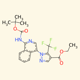 CCOC(=O)c1cnn(-c2cnc(NC(=O)OC(C)(C)C)c3ccccc23)c1C(F)(F)F